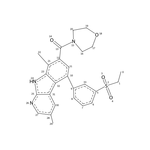 CCS(=O)(=O)c1cccc(-c2cc(C(=O)N3CCOCC3)c(C)c3[nH]c4ncc(C)cc4c23)c1